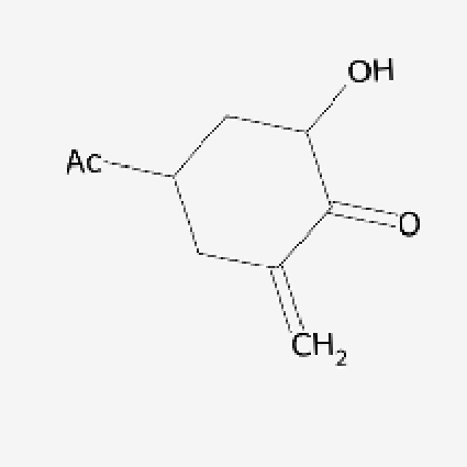 C=C1CC(C(C)=O)CC(O)C1=O